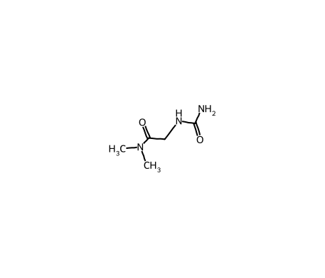 CN(C)C(=O)CNC(N)=O